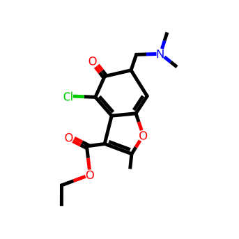 CCOC(=O)c1c(C)oc2c1=C(Cl)C(=O)C(CN(C)C)C=2